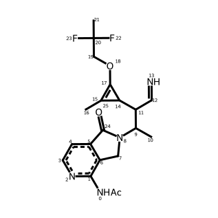 CC(=O)Nc1nccc2c1CN(C(C)C(C=N)C1C(C)=C1OCC(C)(F)F)C2=O